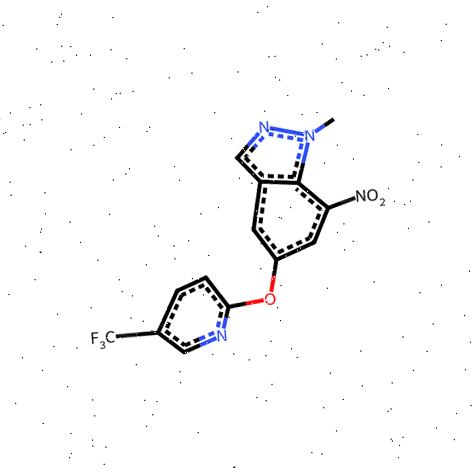 Cn1ncc2cc(Oc3ccc(C(F)(F)F)cn3)cc([N+](=O)[O-])c21